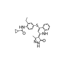 CCc1cc(SC2=CC(=C3C(=O)NN=C3C)Nc3ccccc32)ccc1NC(=O)C1CC1